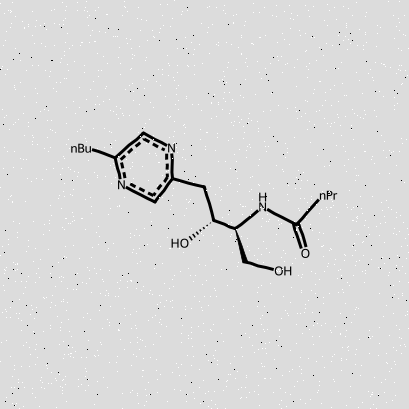 CCCCc1cnc(C[C@@H](O)[C@H](CO)NC(=O)CCC)cn1